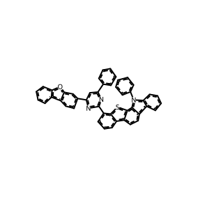 c1ccc(-c2cc(-c3ccc4c(c3)oc3ccccc34)nc(-c3cccc4c3sc3c4ccc4c5ccccc5n(-c5ccccc5)c43)n2)cc1